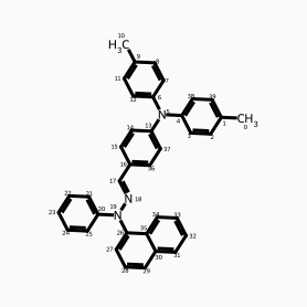 Cc1ccc(N(c2ccc(C)cc2)c2ccc(/C=N/N(c3ccccc3)c3cccc4ccccc34)cc2)cc1